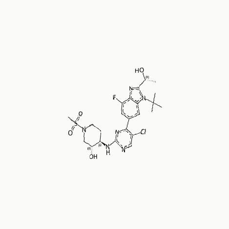 C[C@@H](O)c1nc2c(F)cc(-c3nc(N[C@@H]4CCN(S(C)(=O)=O)C[C@H]4O)ncc3Cl)cc2n1C(C)(C)C